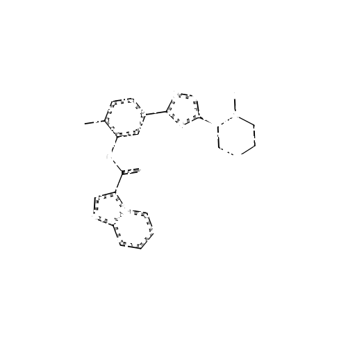 CC(=O)N1CCOC[C@H]1c1nc(-c2ccc(C)c(NC(=O)c3cnc4ccccn34)c2)no1